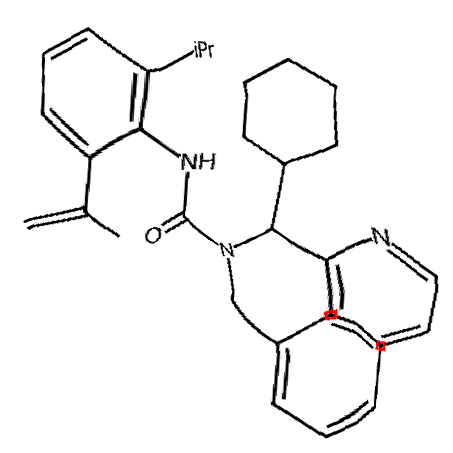 C=C(C)c1cccc(C(C)C)c1NC(=O)N(Cc1ccccc1)C(c1ccccn1)C1CCCCC1